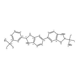 CCCCC(C)(C)C1Nc2ccc(-c3ccc4c(c3)OC(c3cccc(C(C)(C)CC)c3)N4)cc2O1